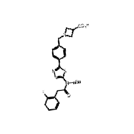 CCCCN(C(=O)CC1=C(F)CCC=C1)c1nnc(-c2ccc(CN3CC(C(=O)O)C3)cc2)s1